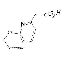 O=C(O)Cc1ccc2c(n1)OCC=C2